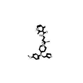 COc1ccc(N(Cc2ccsc2)C2CCN([C@H](C)CCNC(=O)c3c(C)ccnc3C)CC2)cc1